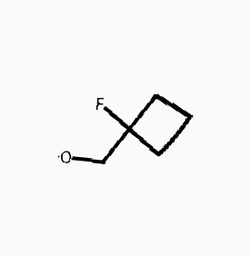 [O]CC1(F)CCC1